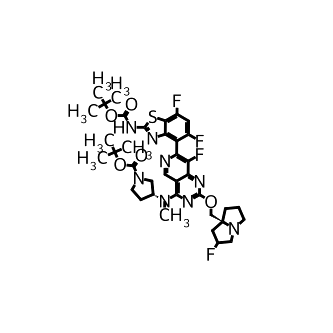 CN(c1nc(OC[C@@]23CCCN2CC(F)C3)nc2c(F)c(-c3c(F)cc(F)c4sc(NC(=O)OC(C)(C)C)nc34)ncc12)[C@@H]1CCN(C(=O)OC(C)(C)C)C1